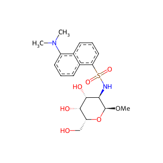 CO[C@H]1O[C@H](CO)[C@H](O)[C@H](O)[C@H]1NS(=O)(=O)c1cccc2c(N(C)C)cccc12